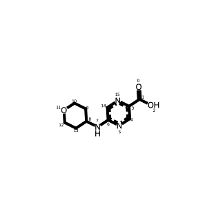 O=C(O)c1cnc(NC2CCOCC2)cn1